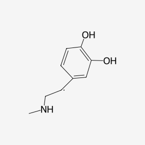 CNC[CH]c1ccc(O)c(O)c1